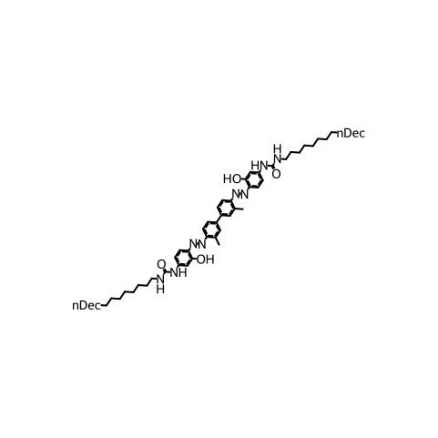 CCCCCCCCCCCCCCCCCCNC(=O)Nc1ccc(/N=N/c2ccc(-c3ccc(/N=N/c4ccc(NC(=O)NCCCCCCCCCCCCCCCCCC)cc4O)c(C)c3)cc2C)c(O)c1